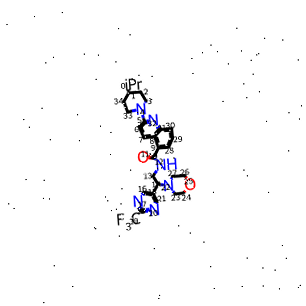 CC(C)C1CCN(c2ccc3c(C(=O)NCC(c4cnc(C(F)(F)F)nc4)N4CCOCC4)cccc3n2)CC1